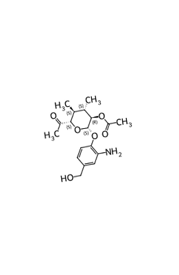 CC(=O)O[C@H]1[C@H](Oc2ccc(CO)cc2N)O[C@H](C(C)=O)[C@@H](C)[C@@H]1C